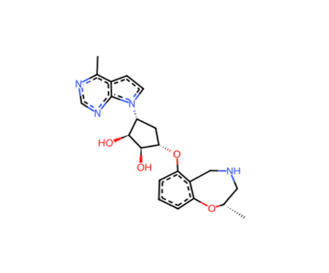 Cc1ncnc2c1ccn2[C@@H]1C[C@H](Oc2cccc3c2CNC[C@H](C)O3)[C@@H](O)[C@H]1O